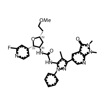 COCC[C@@H]1C[C@@H](NC(=O)Nc2c(C)c(-c3cnc4c(c3)c(=O)n(C)n4C)nn2-c2ccccc2)[C@H](c2ccnc(F)c2)O1